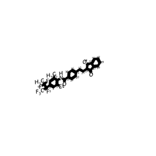 CCc1cc(C(F)(C(C)(F)F)C(F)(F)F)cc(C)c1NC(=O)c1ccc(CCC2C(=O)c3ccccc3C2=O)cc1